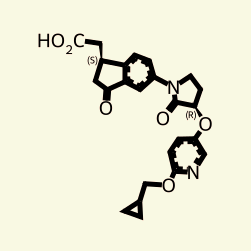 O=C(O)C[C@@H]1CC(=O)c2cc(N3CC[C@@H](Oc4ccc(OCC5CC5)nc4)C3=O)ccc21